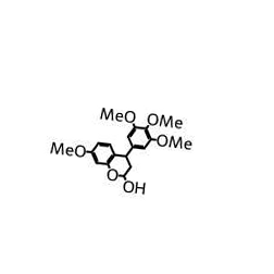 COc1ccc2c(c1)OC(O)CC2c1cc(OC)c(OC)c(OC)c1